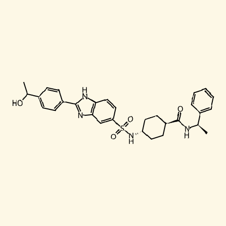 CC(O)c1ccc(-c2nc3cc(S(=O)(=O)N[C@H]4CC[C@H](C(=O)N[C@H](C)c5ccccc5)CC4)ccc3[nH]2)cc1